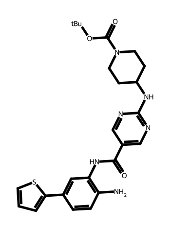 CC(C)(C)OC(=O)N1CCC(Nc2ncc(C(=O)Nc3cc(-c4cccs4)ccc3N)cn2)CC1